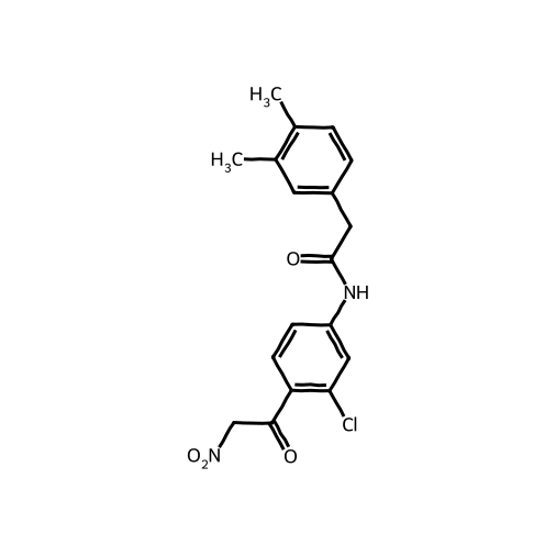 Cc1ccc(CC(=O)Nc2ccc(C(=O)C[N+](=O)[O-])c(Cl)c2)cc1C